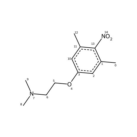 Cc1cc(OCCN(C)C)cc(C)c1[N+](=O)[O-]